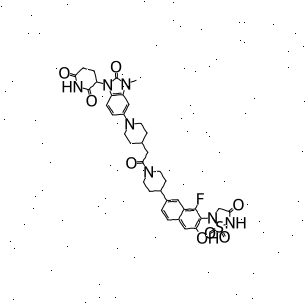 Cn1c(=O)n(C2CCC(=O)NC2=O)c2ccc(N3CCC(CC(=O)N4CCC(c5ccc6cc(O)c(N7CC(=O)NS7(=O)=O)c(F)c6c5)CC4)CC3)cc21